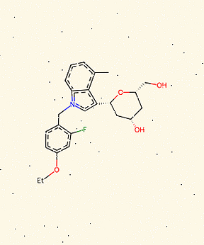 CCOc1ccc(Cn2cc([C@H]3C[C@@H](O)C[C@@H](CO)O3)c3c(C)cccc32)c(F)c1